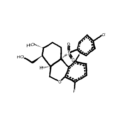 O=S(=O)(c1ccc(Cl)cc1)[C@@]12CC[C@@H](O)[C@H](CO)[C@@H]1COc1c(F)ccc(F)c12